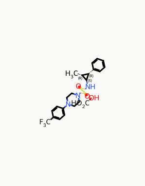 C[C@H]1[C@H](NS(=O)(=O)N2CCN(c3ccc(C(F)(F)F)cc3)CC2)[C@H]1c1ccccc1.O=C(O)O